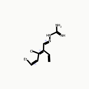 C=CC(/C=N/NC(=N)N)=C(Cl)\C=C/CC